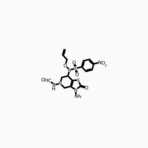 C=CCON(C1CN(BC=O)Cc2c1sc(=O)n2CCC)S(=O)(=O)c1ccc([N+](=O)[O-])cc1